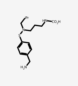 CC(C)CN(CCCNC(=O)O)Sc1ccc(CN)cc1